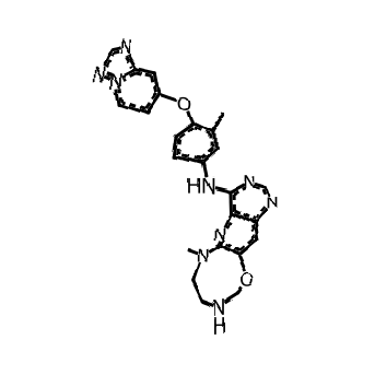 Cc1cc(Nc2ncnc3cc4c(nc23)N(C)CCNCO4)ccc1Oc1ccn2ncnc2c1